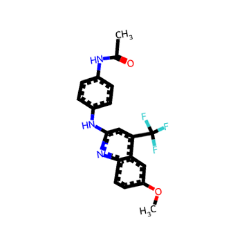 COc1ccc2nc(Nc3ccc(NC(C)=O)cc3)cc(C(F)(F)F)c2c1